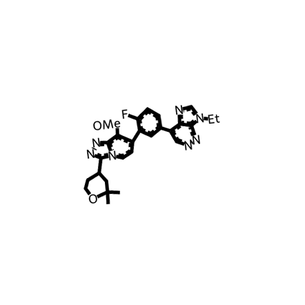 CCn1cnc2c(-c3ccc(F)c(-c4ccn5c(C6CCOC(C)(C)C6)nnc5c4OC)c3)cnnc21